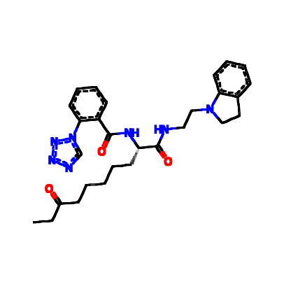 CCC(=O)CCCCC[C@H](NC(=O)c1ccccc1-n1cnnn1)C(=O)NCCN1CCc2ccccc21